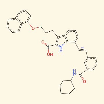 O=C(NC1CCCCC1)c1cccc(/C=C/c2cccc3c(CCCOc4cccc5ccccc45)c(C(=O)O)[nH]c23)c1